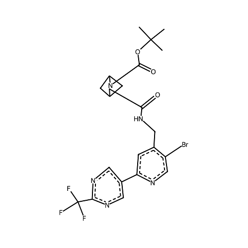 CC(C)(C)OC(=O)N1C2CC(C2)C1C(=O)NCc1cc(-c2cnc(C(F)(F)F)nc2)ncc1Br